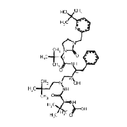 CC(C)(C)CCN(C[C@H](O)[C@H](Cc1ccccc1)NC(=O)[C@@H](N1CCN(Cc2cccc(C(C)(C)O)n2)C1=O)C(C)(C)C)NC(=O)[C@@H](NC(=O)O)C(C)(C)C